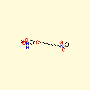 CC(C)(C)OC(=O)Nc1ccc(COCCCCCCCCCCCCN2C(=O)c3ccccc3C2=O)cc1